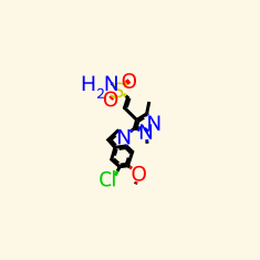 COc1cc2c(ccn2-c2c(C=CS(N)(=O)=O)c(C)nn2C)cc1Cl